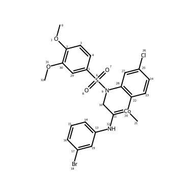 COc1ccc(S(=O)(=O)N2C[C](Nc3cccc(Br)c3)=[Co]([CH3])[c]3ccc(Cl)cc32)cc1OC